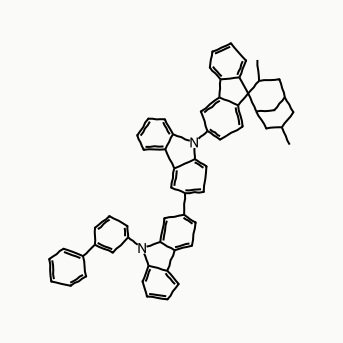 CC1CC2CC(C)C3(c4ccccc4-c4cc(-n5c6ccccc6c6cc(-c7ccc8c9ccccc9n(-c9cccc(-c%10ccccc%10)c9)c8c7)ccc65)ccc43)C(C1)C2